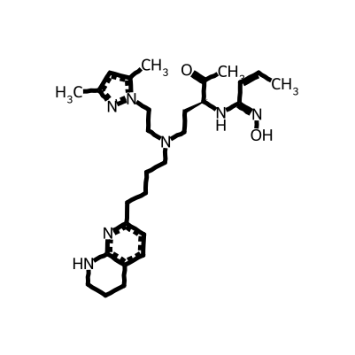 C/C=C\C(=N\O)N[C@@H](CCN(CCCCc1ccc2c(n1)NCCC2)CCn1nc(C)cc1C)C(C)=O